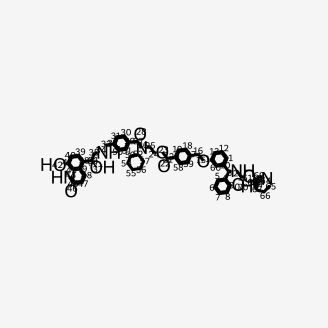 O=C(NC(c1ccccc1)c1cccc(OCc2ccc(C(=O)OCCN(C(=O)c3ccc(CNC[C@@H](O)c4ccc(O)c5[nH]c(=O)ccc45)cc3)C3CCCCC3)cc2)c1)O[C@H]1CN2CCC1CC2